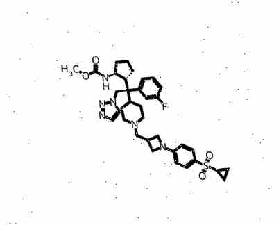 COC(=O)N[C@H]1CCC[C@@H]1[C@](Cn1ccnn1)(c1cccc(F)c1)C1CCN(CC2CN(c3ccc(S(=O)(=O)C4CC4)cc3)C2)CC1